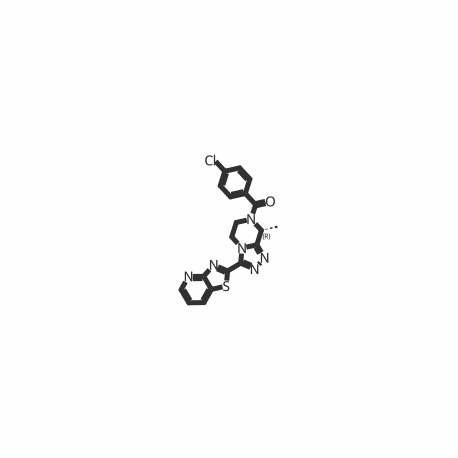 C[C@@H]1c2nnc(-c3nc4ncccc4s3)n2CCN1C(=O)c1ccc(Cl)cc1